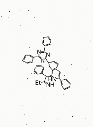 CCC(=N)/C(=C1\NC(c2ccccc2)=Cc2ccc(-c3nc(-c4ccccc4)nc(-c4ccccc4)n3)cc21)c1ccccc1